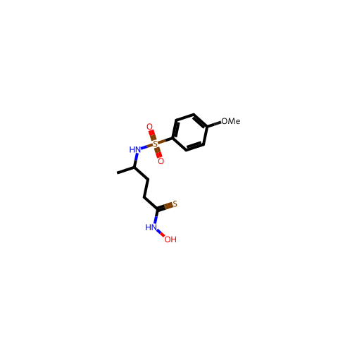 COc1ccc(S(=O)(=O)NC(C)CCC(=S)NO)cc1